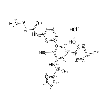 Cl.N#Cc1c(-c2cccc(NC(=O)CCN)c2)cc(-c2ccc(F)cc2O)nc1NC(=O)c1ccco1